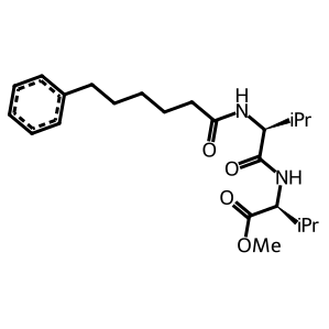 COC(=O)[C@@H](NC(=O)[C@@H](NC(=O)CCCCCc1ccccc1)C(C)C)C(C)C